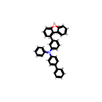 c1ccc(-c2ccc(N(c3ccccc3)c3cccc(-c4cccc5oc6ccccc6c45)c3)cc2)cc1